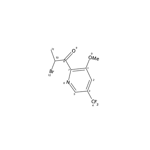 COc1cc(C(F)(F)F)cnc1C(=O)C(C)Br